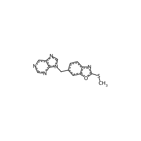 CSc1nc2ccc(Cn3cnc4cncnc43)cc2o1